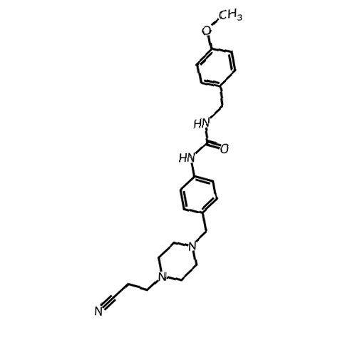 COc1ccc(CNC(=O)Nc2ccc(CN3CCN(CCC#N)CC3)cc2)cc1